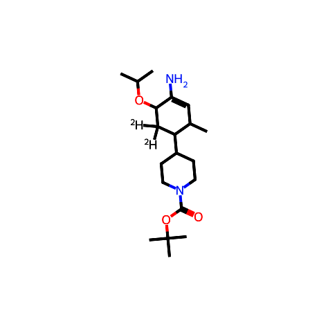 [2H]C1([2H])C(OC(C)C)C(N)=CC(C)C1C1CCN(C(=O)OC(C)(C)C)CC1